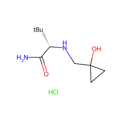 CC(C)(C)[C@H](NCC1(O)CC1)C(N)=O.Cl